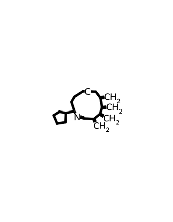 C=C1C=NC(C2CCCC2)CCCCCC(=C)C(=C)C1=C